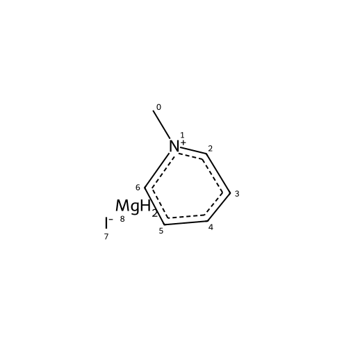 C[n+]1ccccc1.[I-].[MgH2]